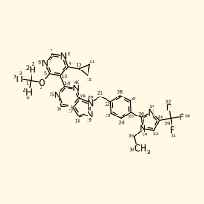 [2H]C([2H])([2H])Oc1ncnc(C2CC2)c1-c1ncc2cnn(Cc3ccc(-c4nc(C(F)(F)F)cn4CC)cc3)c2n1